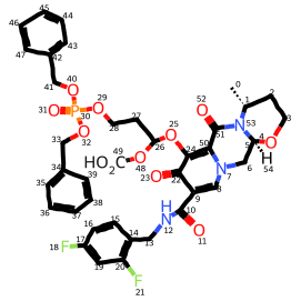 C[C@@H]1CCO[C@H]2Cn3cc(C(=O)NCc4ccc(F)cc4F)c(=O)c(OC(CCOP(=O)(OCc4ccccc4)OCc4ccccc4)OC(=O)O)c3C(=O)N12